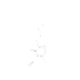 COCCCCn1c(O)cc(C)c(C#N)c1=O